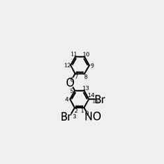 O=Nc1c(Br)cc(Oc2ccccc2)cc1Br